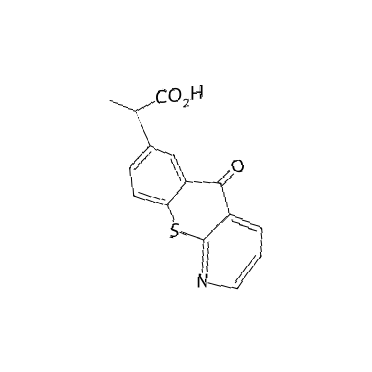 CC(C(=O)O)c1ccc2sc3ncccc3c(=O)c2c1